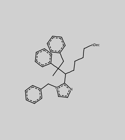 CCCCCCCCCCCCCCC(c1nccn1Cc1ccccc1)C(C)(Cc1ccccc1)c1ccccc1